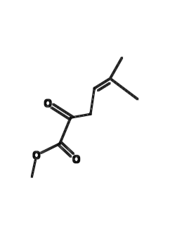 COC(=O)C(=O)CC=C(C)C